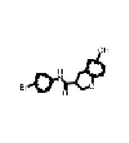 O=C(Nc1ccc(Br)cc1)C1COc2ccc(O)cc2C1